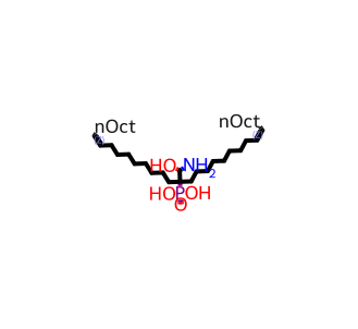 CCCCCCCC/C=C\CCCCCCCCC(CCCCCCCC/C=C\CCCCCCCC)(C(N)O)P(=O)(O)O